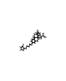 CCNC(=O)[C@H]1CC(=O)[C@@]2(C)CC[C@@H]3c4ccc(OCCCCN5CCC[C@H]5C)cc4CC[C@H]3[C@H]12